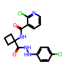 O=C(NC1(C(=O)NNc2ccc(Cl)cc2)CCC1)c1cccnc1Cl